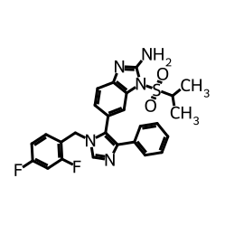 CC(C)S(=O)(=O)n1c(N)nc2ccc(-c3c(-c4ccccc4)ncn3Cc3ccc(F)cc3F)cc21